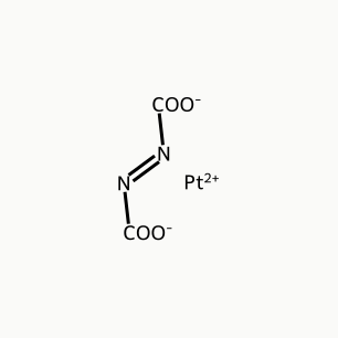 O=C([O-])N=NC(=O)[O-].[Pt+2]